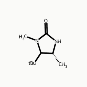 C[C@H]1NC(=O)N(C)C1C(C)(C)C